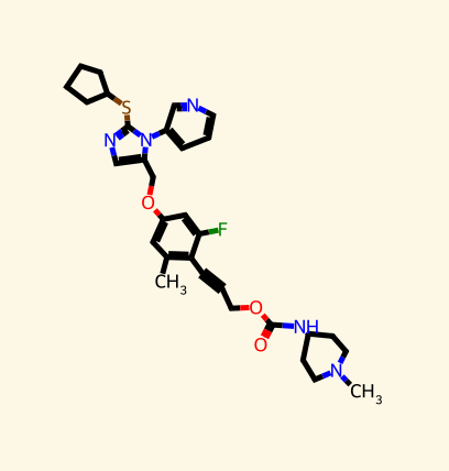 Cc1cc(OCc2cnc(SC3CCCC3)n2-c2cccnc2)cc(F)c1C#CCOC(=O)NC1CCN(C)CC1